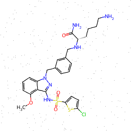 COc1cccc2c1c(NS(=O)(=O)c1ccc(Cl)s1)nn2Cc1cccc(CN[C@@H](CCCCN)C(N)=O)c1